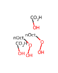 CCCCCCCCOO.CCCCCCCCOO.O=C(O)O.O=C(O)O